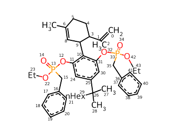 C=C(C)C1CCC(C)=CC1c1c(OP(=O)(Cc2ccccc2)OCC)cc(C(C)(C)CCCCCC)cc1OP(=O)(Cc1ccccc1)OCC